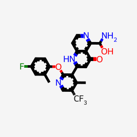 Cc1cc(F)ccc1Oc1ncc(C(F)(F)F)c(C)c1-c1cc(=O)c2c(C(N)O)nccc2[nH]1